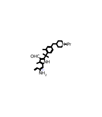 C=C/C(N)=C\c1[nH]c(C(C)(C)c2ccc(CC3CCN(C(C)C)CC3)cc2C)c(C=O)c1C